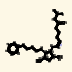 CC(C)OC(=O)CCC/C=C\C[C@@H]1[C@@H](CCCCCc2ccccc2)[C@H](O)C[C@@H]1O